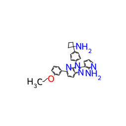 CCCOc1cccc(-c2ccc3nc(-c4cccnc4N)n(-c4ccc(C5(N)CCC5)cc4)c3n2)c1